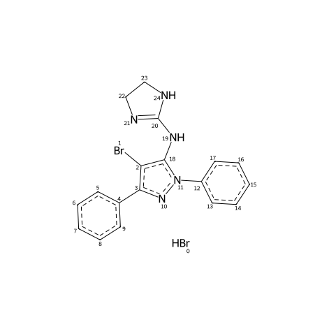 Br.Brc1c(-c2ccccc2)nn(-c2ccccc2)c1NC1=NCCN1